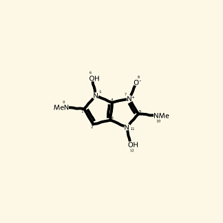 CNc1cc2c(n1O)[n+]([O-])c(NC)n2O